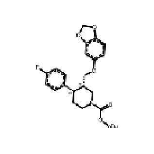 CCCCOC(=O)N1CC[C@@H](c2ccc(F)cc2)[C@H](COc2ccc3c(c2)OCO3)C1